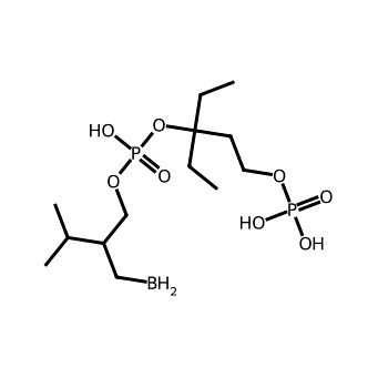 BCC(COP(=O)(O)OC(CC)(CC)CCOP(=O)(O)O)C(C)C